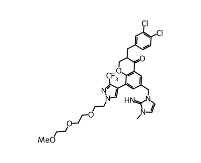 COCCOCCOCCn1cc(-c2cc(Cn3ccn(C)c3=N)cc3c2OCC(Cc2ccc(Cl)c(Cl)c2)C3=O)c(C(F)(F)F)n1